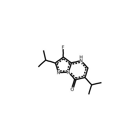 CC(C)c1nn2c(=O)c(C(C)C)c[nH]c2c1F